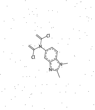 C=C(Cl)N(C(=C)Cl)c1ccc2c(c1)nc(C)n2C